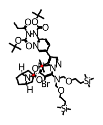 CCC(=O)N(C(=O)OC(C)(C)C)N(C(=O)OC(C)(C)C)c1ccc(-c2cnn3c(N(COCC[Si](C)(C)C)COCC[Si](C)(C)C)c(Br)c([C@@H]4C[C@H]5CC[C@@H](C4)N5C(=O)OC(C)(C)C)nc23)cn1